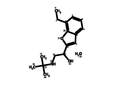 CCc1cccc2cc(C(O)CNC(C)(C)C)oc12.O